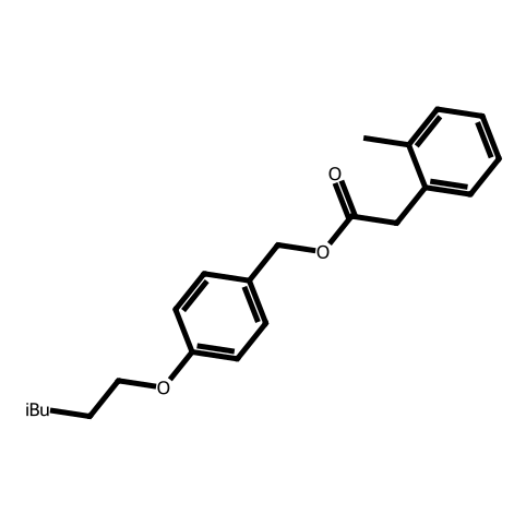 CCC(C)CCOc1ccc(COC(=O)Cc2ccccc2C)cc1